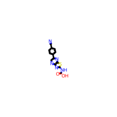 N#Cc1ccc(-c2cnc3nc(NC(=O)O)sc3n2)cc1